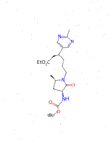 CCOC(=O)C[C@H](CCCN1C(=O)[C@@H](NC(=O)OC(C)(C)C)C[C@H]1C)c1cnc(C)nc1